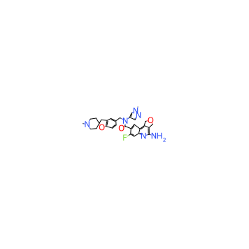 CN1CCC2(CC1)Cc1cc(CN(C(=O)c3cc4c5c(c(N)nc4cc3F)COC5)c3cnn(C)c3)ccc1O2